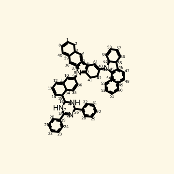 C1=CCC2C=c3c4c(n(C5=CC6=CC=CC(C7NC(c8ccccc8)=NC(c8ccccc8)N7)C6C=C5)c3=CC2=C1)CCC(N1c2c(ccc3ccccc23)C2C=CC=CC21)=C4